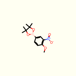 COc1ccc(B2OC(C)(C)C(C)(C)O2)cc1[N+](=O)[O-]